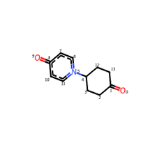 O=C1CCC(n2ccc(=O)cc2)CC1